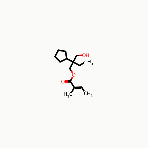 CC=C(C)C(=O)OCC(CC)(CO)C1CCCC1